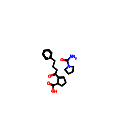 NC(=O)N1CCCC1.O=C(CCCc1ccccc1)C1=CCCC1C(=O)O